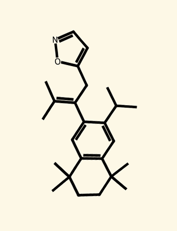 CC(C)=C(Cc1ccno1)c1cc2c(cc1C(C)C)C(C)(C)CCC2(C)C